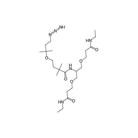 CCNC(=O)CCOCC(COCCC(=O)NCC)NC(=O)C(C)(C)CCOC(C)(C)CCN=[N+]=N